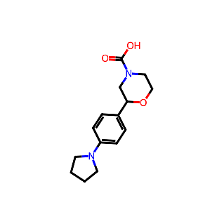 O=C(O)N1CCOC(c2ccc(N3CCCC3)cc2)C1